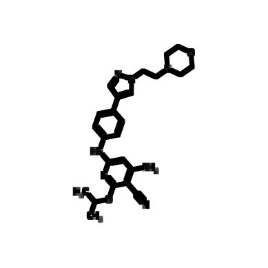 CC(C)Oc1nc(Nc2ccc(-c3cnn(CCN4CCOCC4)c3)cc2)cc(N)c1C#N